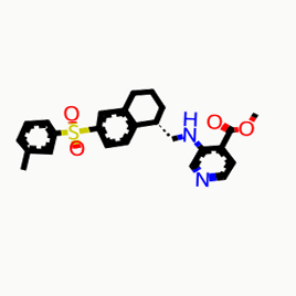 COC(=O)c1ccncc1NC[C@H]1CCCc2cc(S(=O)(=O)c3cccc(C)c3)ccc21